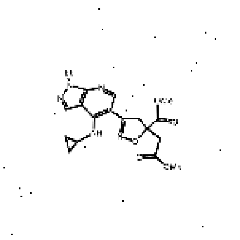 CCn1ncc2c(NC3CC3)c(C3=NOC(CC(=O)OC)(C(=O)OC)C3)cnc21